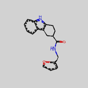 O=C(NCc1ccco1)C1CCc2[nH]c3ccccc3c2C1